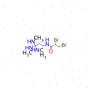 CNC(CCNC(=O)C(Br)CBr)(NC)NC